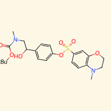 CN(CC(O)c1ccc(OS(=O)(=O)c2ccc3c(c2)OCCN3C)cc1)C(=O)OC(C)(C)C